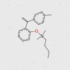 C=C(c1ccc(C)cc1)c1ccccc1O[Si](C)(C)CCCC